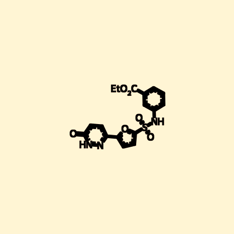 CCOC(=O)c1cccc(NS(=O)(=O)c2ccc(-c3ccc(=O)[nH]n3)o2)c1